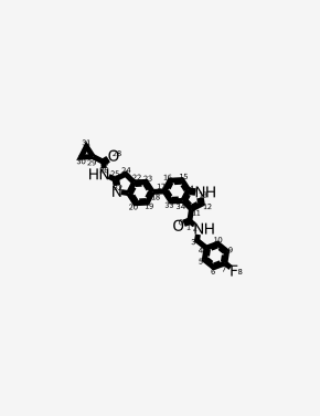 O=C(NCc1ccc(F)cc1)c1c[nH]c2ccc(-c3ccc4c(c3)CC(NC(=O)C3CC3)=N4)cc12